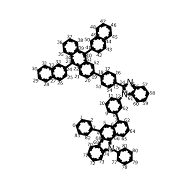 c1ccc(-c2cc3c(-c4cccc(-n5c(-c6ccc(-c7ccc8c(-c9ccc%10ccccc%10c9)c9ccccc9c(-c9ccc%10ccccc%10c9)c8c7)cc6)nc6ccccc65)c4)cccc3c3c2c2ccccc2n3-c2ccccc2)cc1